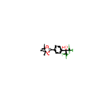 CC1(C)OB(c2ccc(C(O)(C(F)(F)F)C(F)(F)F)cc2)OC1(C)C